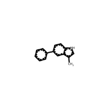 Cc1[c][nH]c2ccc(-c3ccccc3)cc12